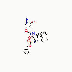 CC(C)C(C)(C)C(NC(=O)OCc1ccccc1)C(=O)N[C@H](C=O)C[C@@H]1CCNC1=O